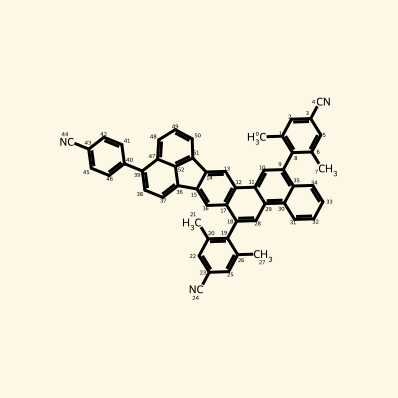 Cc1cc(C#N)cc(C)c1-c1cc2c3cc4c(cc3c(-c3c(C)cc(C#N)cc3C)cc2c2ccccc12)-c1ccc(-c2ccc(C#N)cc2)c2cccc-4c12